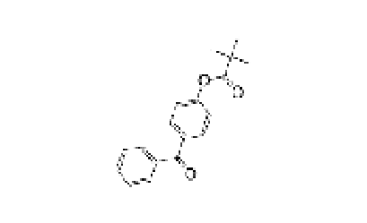 CC(C)(C)C(=O)Oc1ccc(C(=O)c2ccccc2)cc1